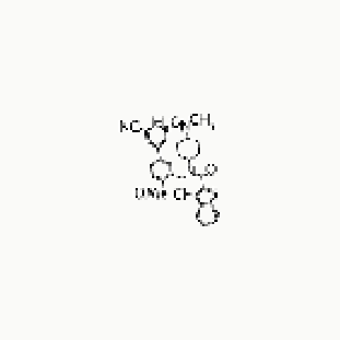 COc1ccc(-c2cccc(C#N)c2)cc1CN(C(=O)c1sc2ccccc2c1Cl)[C@H]1CC[C@H](N(C)C)CC1